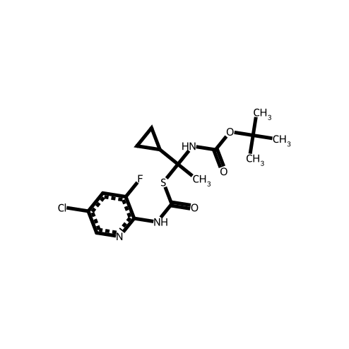 CC(C)(C)OC(=O)NC(C)(SC(=O)Nc1ncc(Cl)cc1F)C1CC1